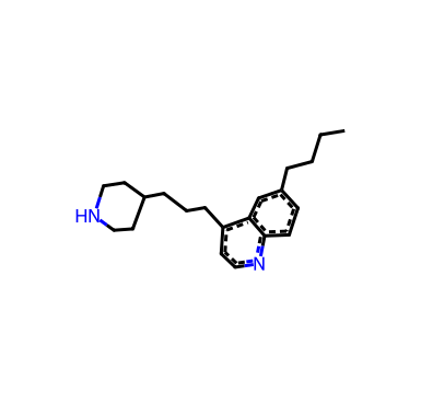 CCCCc1ccc2nccc(CCCC3CCNCC3)c2c1